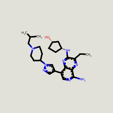 CCc1nc2c(N)ncc(-c3cnn(C4CCN(CC(C)C)CC4)c3)c2nc1N[C@@H]1CC[C@H](O)C1